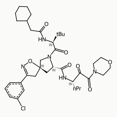 CCC[C@H](NC(=O)[C@@H]1C[C@]2(CC(c3cccc(Cl)c3)=NO2)CN1C(=O)[C@@H](NC(=O)CC1CCCCC1)C(C)(C)C)C(=O)C(=O)N1CCOCC1